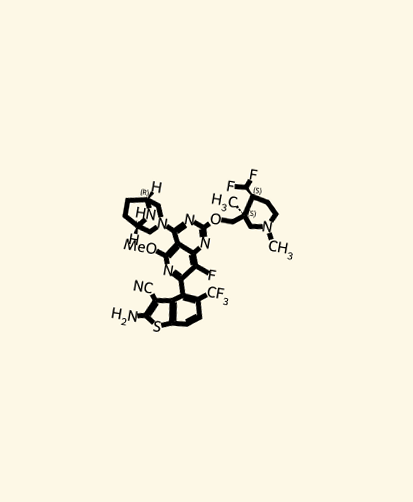 COc1nc(-c2c(C(F)(F)F)ccc3sc(N)c(C#N)c23)c(F)c2nc(OC[C@]3(C)CN(C)CC[C@@H]3C(F)F)nc(N3C[C@H]4CC[C@@H](C3)N4)c12